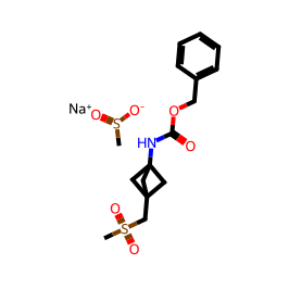 CS(=O)(=O)CC12CC(NC(=O)OCc3ccccc3)(C1)C2.CS(=O)[O-].[Na+]